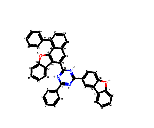 c1ccc(-c2nc(-c3ccc4oc5ccccc5c4c3)nc(-c3cc4cccc(-c5ccccc5)c4c4oc5ccccc5c34)n2)cc1